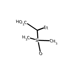 CCC(C(=O)O)[Si](C)(C)[O]